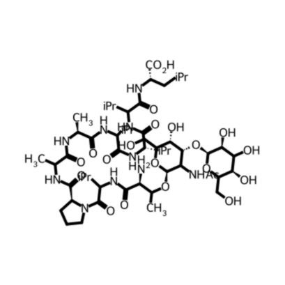 CC(=O)NC1[C@@H](OC(C)[C@H](N)C(=O)NC(C(=O)N2CCC[C@H]2C(=O)NC(C)C(=O)N[C@@H](C)C(=O)NC(C(=O)N[C@H](C(=O)NC(C(=O)N[C@@H](CC(C)C)C(=O)O)C(C)C)C(C)C)C(C)C)C(C)C)OC(CO)[C@H](O)[C@@H]1O[C@@H]1OC(CO)[C@H](O)C(O)[C@@H]1O